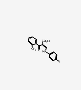 CCOC(=O)/C(=C/Nc1ccc(I)cc1)C(=O)c1ccccc1C(F)(F)F